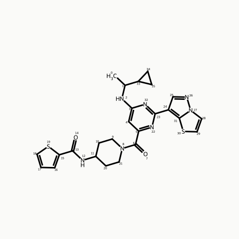 CC(Nc1cc(C(=O)N2CCC(NC(=O)c3cccs3)CC2)nc(-c2cnn3ccsc23)n1)C1CC1